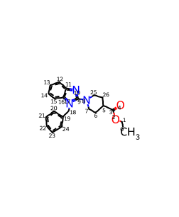 CCOC(=O)C1CCN(c2nc3ccccc3n2Cc2ccccc2)CC1